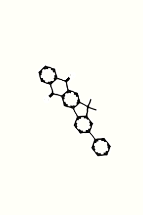 CC1(C)c2cc(-c3ccccc3)ccc2-c2cc3c(cc21)C(=O)c1ccccc1C3=O